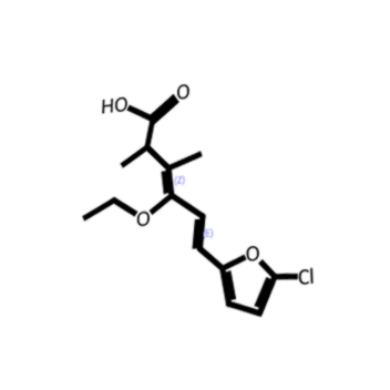 CCOC(/C=C/c1ccc(Cl)o1)=C(/C)C(C)C(=O)O